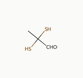 CC(S)(S)[C]=O